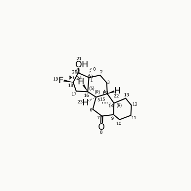 C[C@]12CC[C@H]3[C@@H](CC(=O)C4CCCC[C@@]43C)[C@@H]1C[C@@H](F)[C@H]2O